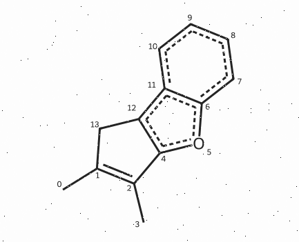 CC1=C(C)c2oc3ccccc3c2C1